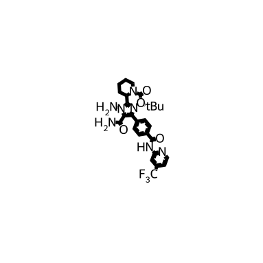 CC(C)(C)OC(=O)N1CCCCC1c1nc(-c2ccc(C(=O)Nc3cc(C(F)(F)F)ccn3)cc2)c(C(N)=O)n1N